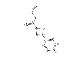 CC(C)CCC(=O)N1CC(c2ccncc2)C1